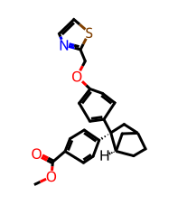 COC(=O)c1ccc([C@]2(c3ccc(OCc4nccs4)cc3)CC3CC[C@@H]2C3)cc1